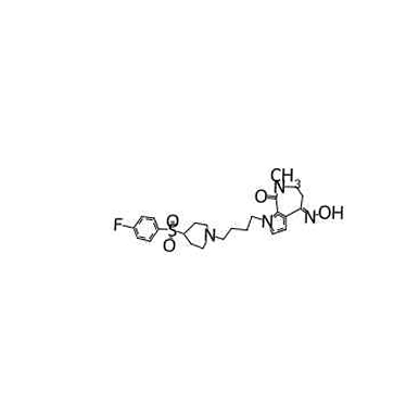 CN1CCC(=NO)c2ccn(CCCCN3CCC(S(=O)(=O)c4ccc(F)cc4)CC3)c2C1=O